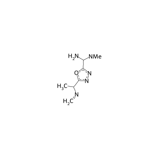 C=NC(C)c1nnc(C(N)NC)o1